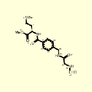 COC(=O)[C@@H](CCSC)NC(=O)c1ccc(CNC(=O)CNC=O)cc1